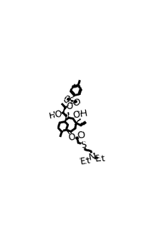 C=C[C@]1(C)C[C@@H](OC(=O)CSCCN(CC)CC)[C@@]2(C)C[C@](CC(O)C(C)OS(=O)(=O)c3ccc(C)cc3)(CCC2C)[C@@H](C)[C@@H]1O